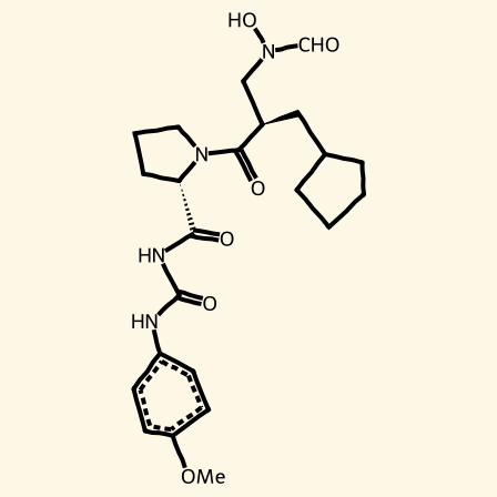 COc1ccc(NC(=O)NC(=O)[C@@H]2CCCN2C(=O)[C@H](CC2CCCC2)CN(O)C=O)cc1